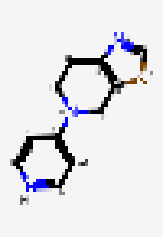 [c]1nc2c(s1)CN(c1ccncc1)CC2